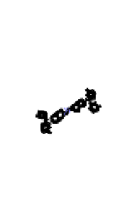 Cc1cccc(N(c2cccc(C)c2)c2ccc3cc(/C=C/c4ccc5cc(N(c6cccc(C)c6)c6cccc(C)c6)ccc5c4)ccc3c2)c1